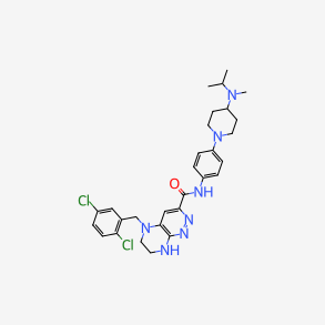 CC(C)N(C)C1CCN(c2ccc(NC(=O)c3cc4c(nn3)NCCN4Cc3cc(Cl)ccc3Cl)cc2)CC1